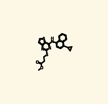 COC(=O)CCSc1nc(Nc2ccc(C3CC3)c3ccccc23)c2sccc2n1